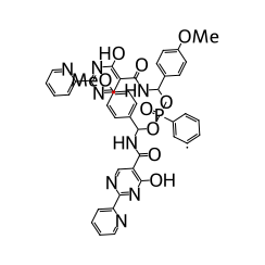 COc1ccc(C(NC(=O)c2cnc(-c3ccccn3)nc2O)OP(=O)(OC(NC(=O)c2cnc(-c3ccccn3)nc2O)c2ccc(OC)cc2)c2c[c]ccc2)cc1